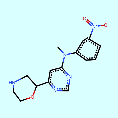 CN(c1cccc([N+](=O)[O-])c1)c1cc(C2CNCCO2)ncn1